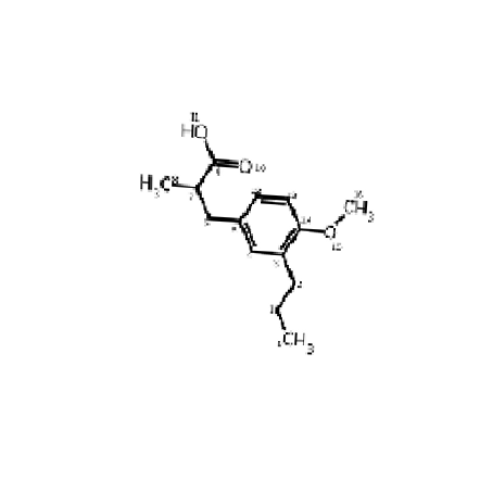 CCCc1cc(CC(C)C(=O)O)ccc1OC